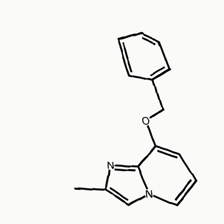 Cc1cn2cccc(OCc3ccccc3)c2n1